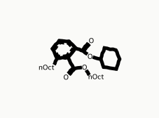 CCCCCCCCOC(=O)c1c(CCCCCCCC)cccc1C(=O)OC1CCCCC1